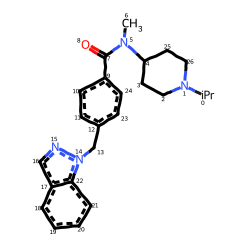 CC(C)N1CCC(N(C)C(=O)c2ccc(Cn3ncc4ccccc43)cc2)CC1